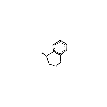 C[C@@H]1COCc2ccccc21